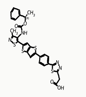 Cc1nsc(-c2cc3sc(-c4ccc(-c5nnc(CC(=O)O)s5)cc4)cc3s2)c1NC(=O)O[C@H](C)c1ccccc1